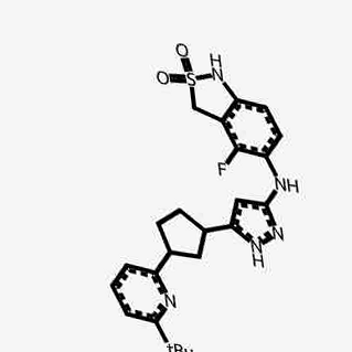 CC(C)(C)c1cccc(C2CCC(c3cc(Nc4ccc5c(c4F)CS(=O)(=O)N5)n[nH]3)C2)n1